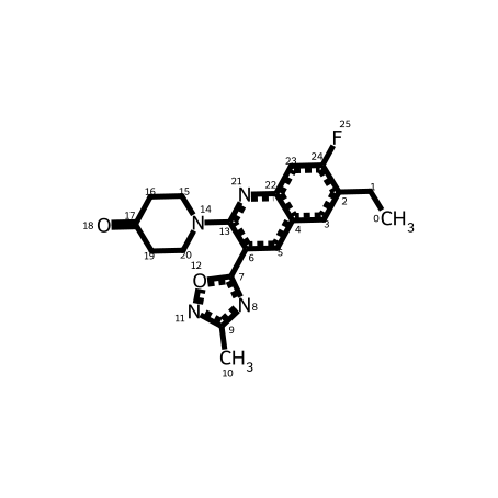 CCc1cc2cc(-c3nc(C)no3)c(N3CCC(=O)CC3)nc2cc1F